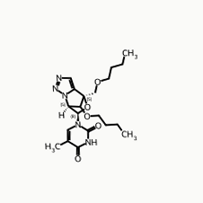 CCCCOC[C@]12O[C@@H](n3cc(C)c(=O)[nH]c3=O)[C@H](C1OCCCC)n1nncc12